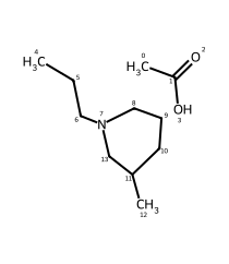 CC(=O)O.CCCN1CCCC(C)C1